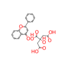 O=C(O)CC(O)(CC(=O)O)C(=O)O.O=c1cc(-c2ccccc2)oc2ccccc12